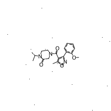 COc1ccccc1-c1noc(C)c1C(=O)N1CCN(C(C)C)C(=O)C1